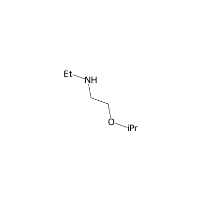 [CH2]CNCCOC(C)C